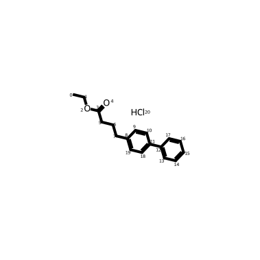 CCOC(=O)CCCc1ccc(-c2ccccc2)cc1.Cl